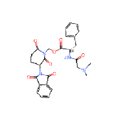 CN(C)CC(=O)N[C@@H](Cc1ccccc1)C(=O)OCN1C(=O)CCC(N2C(=O)c3ccccc3C2=O)C1=O